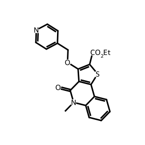 CCOC(=O)c1sc2c(c1OCc1ccncc1)c(=O)n(C)c1ccccc21